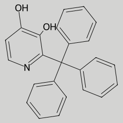 Oc1ccnc(C(c2ccccc2)(c2ccccc2)c2ccccc2)c1O